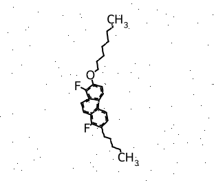 CCCCCCCCOc1ccc2c(ccc3c(F)c(CCCCC)ccc32)c1F